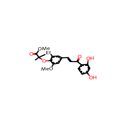 CCc1cc(/C=C/C(=O)c2ccc(O)cc2O)cc(OC)c1OC(C)(C)C(=O)OC